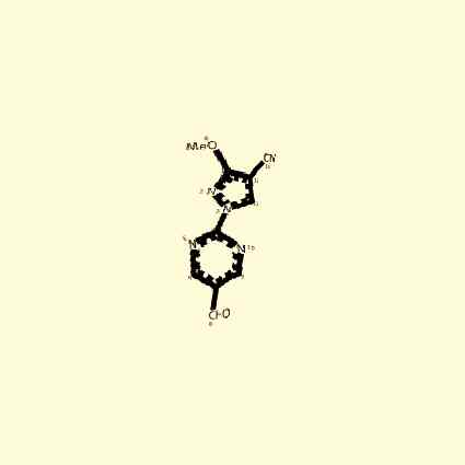 COc1nn(-c2ncc(C=O)cn2)cc1C#N